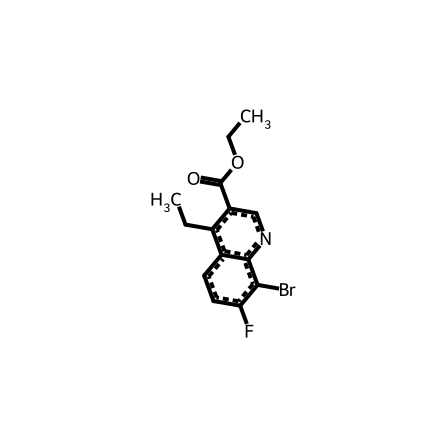 CCOC(=O)c1cnc2c(Br)c(F)ccc2c1CC